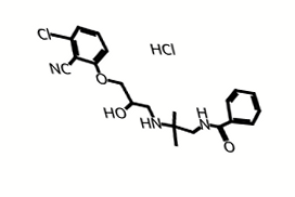 CC(C)(CNC(=O)c1ccccc1)NCC(O)COc1cccc(Cl)c1C#N.Cl